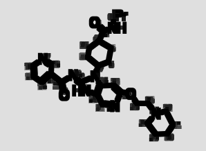 CC(C)NC(=O)C1CCC(n2c(=NC(=O)c3cccnc3)[nH]c3cnc(OCCN4CCCCC4)cc32)CC1